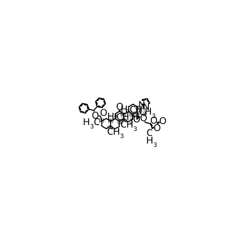 Cc1oc(=O)oc1COC(=O)[C@]1(C)[C@@H](n2cccn2)CC[C@@]2(C)[C@H]1CC[C@]1(C)[C@@H]2C(=O)C=C2[C@@H]3C[C@@](C)(C(=O)OC(c4ccccc4)c4ccccc4)CC[C@]3(C)CC[C@]21C